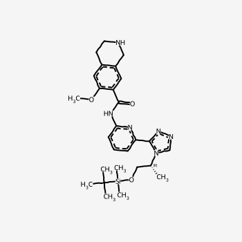 COc1cc2c(cc1C(=O)Nc1cccc(-c3nncn3[C@H](C)CO[Si](C)(C)C(C)(C)C)n1)CNCC2